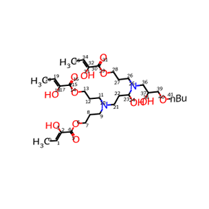 CC=C(O)C(=O)OCCCN(CCCOC(=O)C(O)=CC)CCC(O)N(CCCOC(=O)C(O)=CC)CC(O)COCCCC